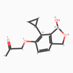 CC(=O)COc1ccc2c(c1C1CC1)B(O)OC2